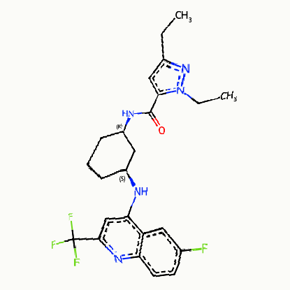 CCc1cc(C(=O)N[C@@H]2CCC[C@H](Nc3cc(C(F)(F)F)nc4ccc(F)cc34)C2)n(CC)n1